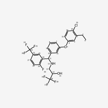 CCc1cc(Oc2cccc(C(NCC(O)C(F)(F)F)c3cc(C(F)(F)F)ccc3F)c2)ccc1Cl